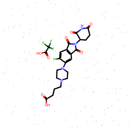 O=C(O)C(F)(F)F.O=C(O)CCCN1CCN(c2cc3c(cc2F)C(=O)N(C2CCC(=O)NC2=O)C3=O)CC1